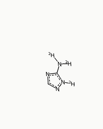 [2H]N([2H])c1ncnn1[2H]